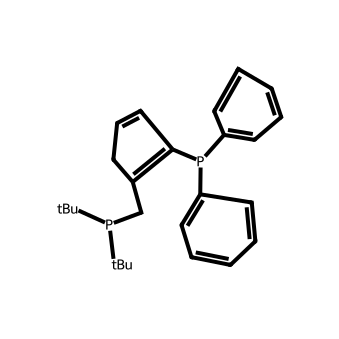 CC(C)(C)P(CC1=C(P(c2ccccc2)c2ccccc2)C=CC1)C(C)(C)C